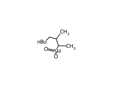 CCCCCC(C)C(C)[SH](=O)=O